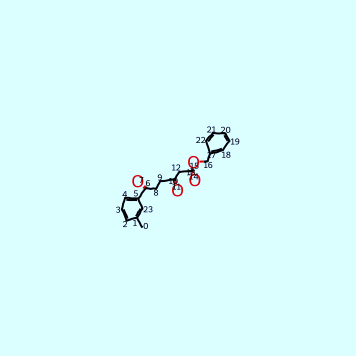 Cc1cccc(C(=O)CCC(=O)CC(=O)OCc2ccccc2)c1